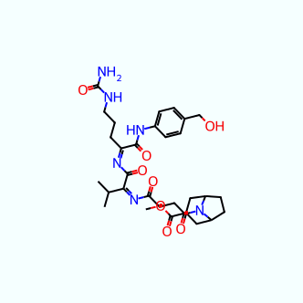 COC(=O)C1CC2CCC(C1)N2C(=O)CCC(=O)N=C(C(=O)N=C(CCCNC(N)=O)C(=O)Nc1ccc(CO)cc1)C(C)C